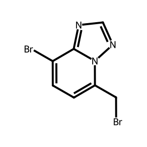 BrCc1ccc(Br)c2ncnn12